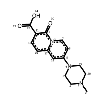 CN1CCN(c2ccn3c(=O)c(C(=O)O)ccc3c2)CC1